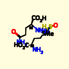 CSCC[C@H](N)C(=O)O.N=[SH2]=O.NC(=O)CC[C@H](N)C(=O)O